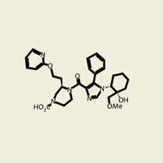 COC[C@]1(O)CCCC[C@H]1n1cnc(C(=O)N2CCN(C(=O)O)C[C@H]2CCOc2ccccn2)c1-c1ccccc1